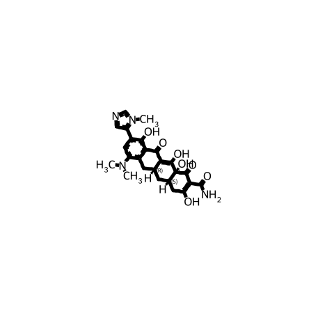 CN(C)c1cc(-c2cncn2C)c(O)c2c1C[C@H]1C[C@H]3CC(O)=C(C(N)=O)C(=O)[C@@]3(O)C(O)=C1C2=O